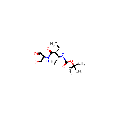 CC[C@@H](C(=O)NC(C=O)CO)[C@@H](C)NC(=O)OC(C)(C)C